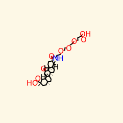 CC1(C)[C@@H](C(=O)NCCOCCOCCOCCC(=O)O)CC[C@]2(C)[C@H]3C(=O)C=C4[C@@H]5C[C@@](C)(C(=O)O)CC[C@]5(C)CC[C@@]4(C)[C@]3(C)CC[C@@H]12